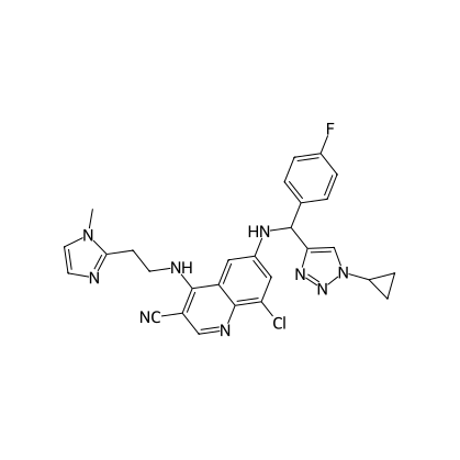 Cn1ccnc1CCNc1c(C#N)cnc2c(Cl)cc(NC(c3ccc(F)cc3)c3cn(C4CC4)nn3)cc12